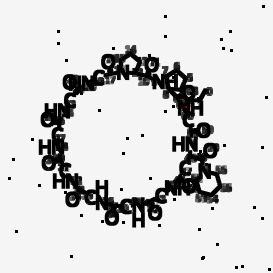 CCC(C)C1CCCC12NC(=O)C1CCCN1C(=O)CNC(=O)CNC(=O)CNC(=O)CNC(=O)CNC(=O)CNC(=O)CNC(=O)CC(C(=O)N1CCCCC1)NC(=O)CNC2=O